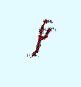 C=C(C)C(=O)OCCCCCCOc1ccc(OC(=O)C2CCC(COc3ccc4c5ccc(OCC6CCC(C(=O)Oc7ccc(OCC(CCCCOC(=O)C(=C)C)C(F)(F)F)cc7)CC6)cc5c5nc6ccc(-c7cccc(OCCOCCOC(=O)C(=C)C)c7)cc6nc5c4c3)CC2)cc1